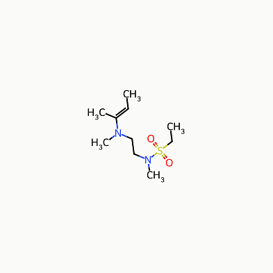 C/C=C(\C)N(C)CCN(C)S(=O)(=O)CC